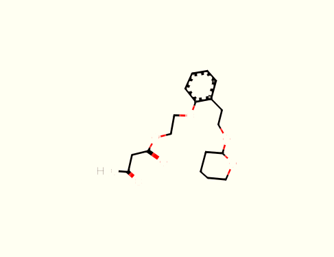 CC(=O)CC(=O)OCCOc1ccccc1CCOC1CCCCO1